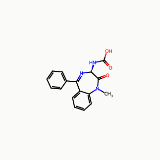 CN1C(=O)[C@H](NC(=O)O)N=C(c2ccccc2)c2ccccc21